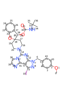 COc1ccc(Cn2nc(I)c3c2nc(N2CCC4(CC2)Oc2ccccc2[C@H]4OC(=O)NC(C)(C)C)n2ccnc32)cc1